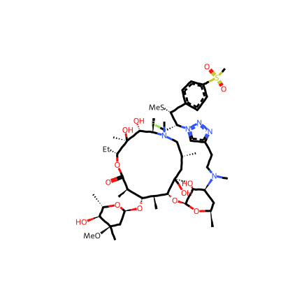 CC[C@H]1OC(=O)[C@H](C)[C@@H](O[C@H]2C[C@@](C)(OC)[C@@H](O)[C@H](C)O2)[C@H](C)[C@@H](O[C@@H]2O[C@H](C)C[C@H](N(C)CCc3cn([C@H](CF)[C@H](SC)c4ccc(S(C)(=O)=O)cc4)nn3)[C@H]2O)[C@](C)(O)C[C@@H](C)CN(C)[C@H](C)[C@@H](O)[C@]1(C)O